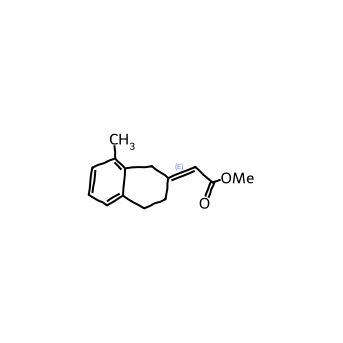 COC(=O)/C=C1\CCc2cccc(C)c2C1